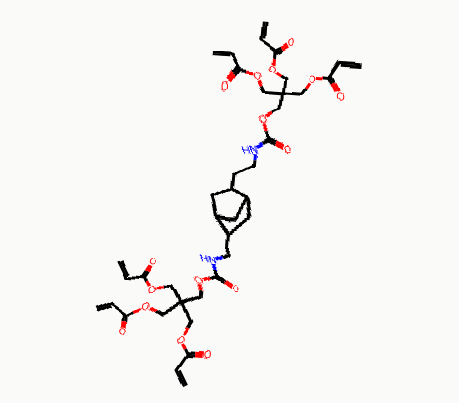 C=CC(=O)OCC(COC(=O)C=C)(COC(=O)C=C)COC(=O)NCCC1CC2CC1CC2CNC(=O)OCC(COC(=O)C=C)(COC(=O)C=C)COC(=O)C=C